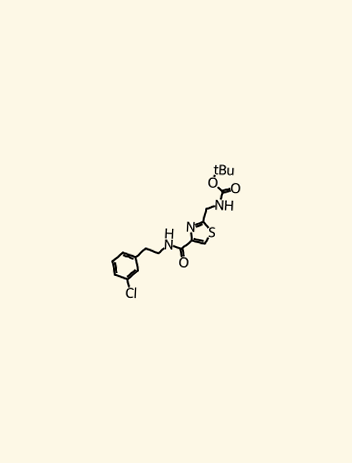 CC(C)(C)OC(=O)NCc1nc(C(=O)NCCc2cccc(Cl)c2)cs1